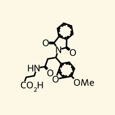 COc1ccc(C(CC(=O)NCCC(=O)O)N2C(=O)c3ccccc3C2=O)c2c1O2